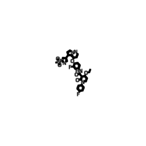 CCOc1ccn(-c2ccc(F)cc2)c(=O)c1C(=O)Nc1ccc(Oc2ccnn3ccc(-c4cnn(S(C)(=O)=O)c4)c23)c(F)c1